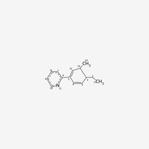 CCC1C=CC(c2ccccn2)=CC1C